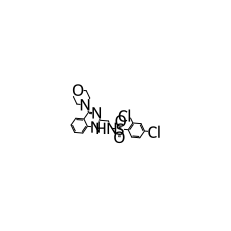 O=S(=O)(NCc1nc(N2CCOCC2)c2ccccc2n1)c1ccc(Cl)cc1Cl